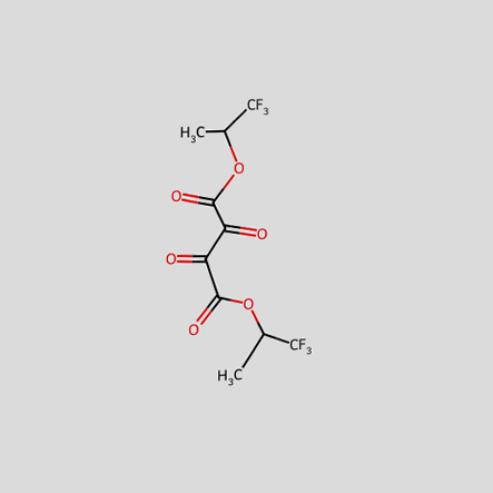 CC(OC(=O)C(=O)C(=O)C(=O)OC(C)C(F)(F)F)C(F)(F)F